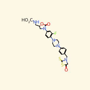 O=C(O)NCC1CN(c2ccc(N3CCN(c4ccc(CN5CC(=O)SC5=S)cc4)CC3)c(F)c2)C(=O)O1